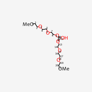 COCCOCCOCCOB(O)OCCOCCOCCOC